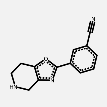 N#Cc1cccc(-c2nc3c(o2)CCNC3)c1